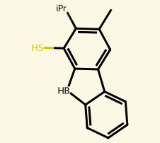 Cc1cc2c(c(S)c1C(C)C)Bc1ccccc1-2